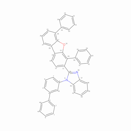 c1ccc(-c2cccc(-n3c(-c4ccc5c(oc6c(-c7ccccc7)cccc65)c4-c4ccccc4)nc4ccccc43)c2)cc1